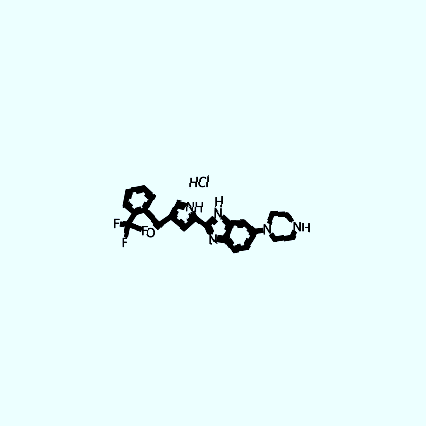 Cl.O=C(c1c[nH]c(-c2nc3ccc(N4CCNCC4)cc3[nH]2)c1)c1ccccc1C(F)(F)F